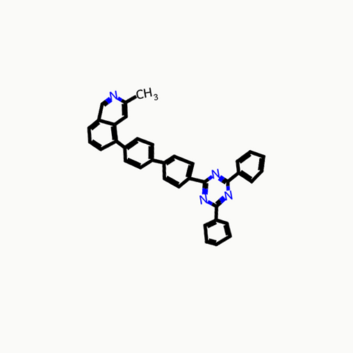 Cc1cc2c(-c3ccc(-c4ccc(-c5nc(-c6ccccc6)nc(-c6ccccc6)n5)cc4)cc3)cccc2cn1